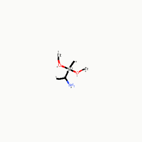 CCO[Si](C)(OCC)C(C)N